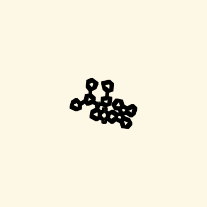 c1ccc(-c2cccc(N(c3cc(-c4ccccc4)cc(-c4ccccc4)c3)c3cccc4c3Oc3cc5c(cc3O4)-c3ccccc3C53c4ccccc4-c4ccccc43)c2)cc1